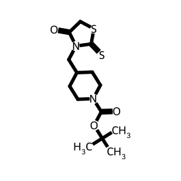 CC(C)(C)OC(=O)N1CCC(CN2C(=O)CSC2=S)CC1